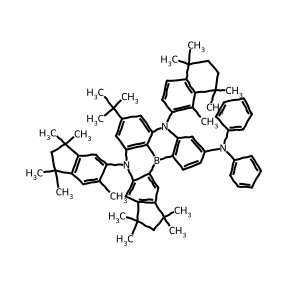 Cc1cc2c(cc1N1c3cc4c(cc3B3c5ccc(N(c6ccccc6)c6ccccc6)cc5N(c5ccc6c(c5C)C(C)(C)CCC6(C)C)c5cc(C(C)(C)C)cc1c53)C(C)(C)CC4(C)C)C(C)(C)CC2(C)C